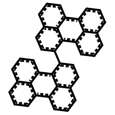 c1cc2cccc3c4c(-c5ccc6cccc7c8cccc9cccc(c5c67)c98)ccc5cccc(c(c1)c23)c54